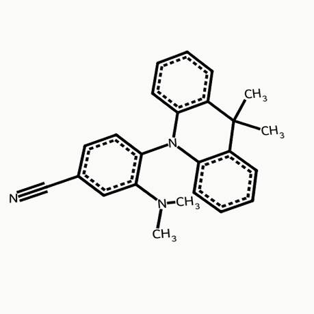 CN(C)c1cc(C#N)ccc1N1c2ccccc2C(C)(C)c2ccccc21